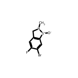 CN1Cc2cc(F)c(Br)cc2[S+]1[O-]